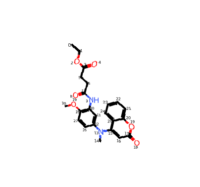 CCOC(=O)CCC(=O)Nc1cc(N(C)c2cc(=O)oc3ccccc23)ccc1OC